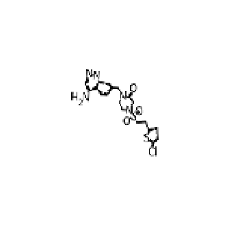 Nc1cnnc2cc(CN3CCN(S(=O)(=O)C=Cc4ccc(Cl)s4)CC3=O)ccc12